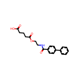 O=C(O)CCCC(=O)OCCNC(=O)c1ccc(-c2ccccc2)cc1